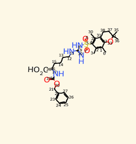 Cc1c(C)c(S(=O)(=O)NC(=N)NCCCC[C@H](NC(=O)OCc2ccccc2)C(=O)O)c(C)c2c1OC(C)(C)CC2